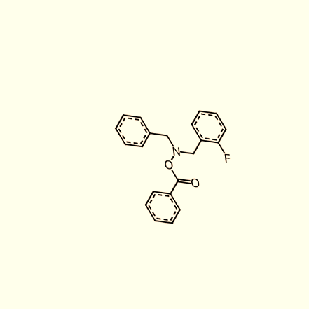 O=C(ON(Cc1ccccc1)Cc1ccccc1F)c1ccccc1